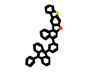 c1ccc(-c2c3ccccc3c(-c3cccc(-c4cc5oc6cc7sc8ccccc8c7cc6c5c5ccccc45)c3)c3ccccc23)cc1